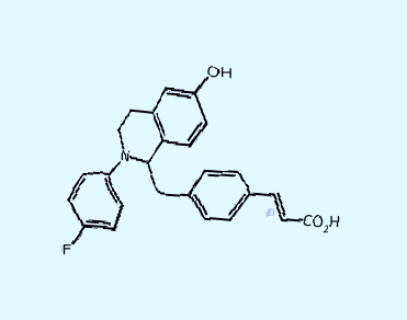 O=C(O)/C=C/c1ccc(CC2c3ccc(O)cc3CCN2c2ccc(F)cc2)cc1